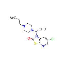 CC(=O)OCCN1CCN(C(C=O)n2c(=O)sc3ncc(Cl)cc32)CC1